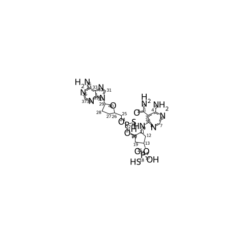 NC(=O)c1c(N)ncnc1NC1CC(OP(=O)(O)S)C[C@H]1OP(S)OCC1CCC(n2cnc3c(N)ncnc32)O1